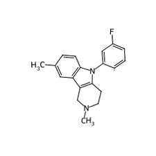 Cc1ccc2c(c1)c1c(n2-c2[c]ccc(F)c2)CCN(C)C1